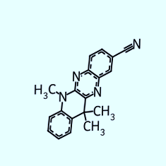 CN1c2ccccc2C(C)(C)c2nc3cc(C#N)ccc3nc21